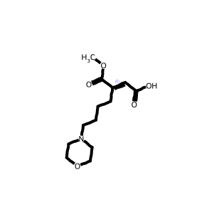 COC(=O)/C(=C/C(=O)O)CCCCN1CCOCC1